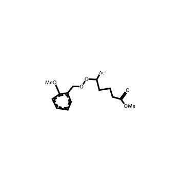 COC(=O)CCCC(OOCc1ccccc1OC)C(C)=O